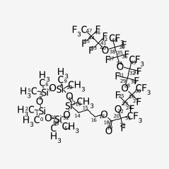 C[Si]1(C)O[Si](C)(C)O[Si](C)(C)O[Si](C)(CCCOC(=O)C(F)(OC(F)(F)C(F)(OC(F)(F)C(F)(OC(F)(F)C(F)(OC(F)(F)C(F)(F)C(F)(F)F)C(F)(F)F)C(F)(F)F)C(F)(F)F)C(F)(F)F)O[Si](C)(C)O1